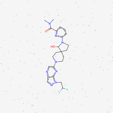 CN(C)C(=O)c1cccc(N2CCC3(CCN(c4cnc5cnn(CC(F)F)c5n4)CC3)C2O)n1